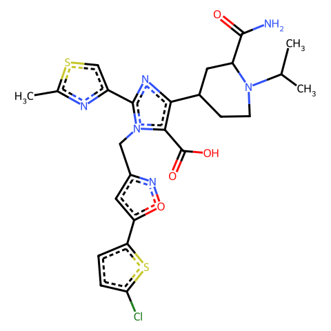 Cc1nc(-c2nc(C3CCN(C(C)C)C(C(N)=O)C3)c(C(=O)O)n2Cc2cc(-c3ccc(Cl)s3)on2)cs1